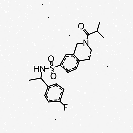 CC(C)C(=O)N1CCc2ccc(S(=O)(=O)NC(C)c3ccc(F)cc3)cc2C1